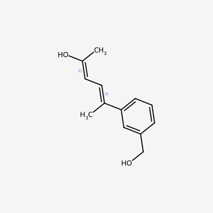 C/C(O)=C\C=C(/C)c1cccc(CO)c1